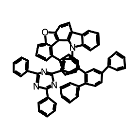 c1ccc(-c2ccc(-c3ccccc3)c(-c3ccc(-c4cccc5oc6ccc7c8ccccc8n(-c8ccccc8)c7c6c45)c(-c4nc(-c5ccccc5)nc(-c5ccccc5)n4)c3)c2)cc1